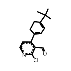 CC(C)(C)C1=CC=C(c2ccnc(Cl)c2C=O)CC1